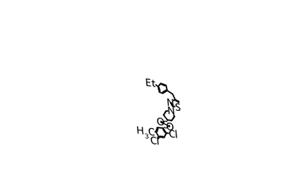 CCc1ccc(Cc2csc(N3CCC(S(=O)(=O)c4cc(C)c(Cl)cc4Cl)CC3)n2)cc1